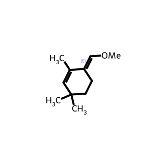 CO/C=C1\CCC(C)(C)C=C1C